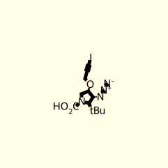 CC(C)(C)C1[C@@H](N=[N+]=[N-])[C@H](OCC#CI)CN1C(=O)O